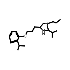 CCCN1CC(CCCOc2ccccc2C(C)C)NC1C(C)C